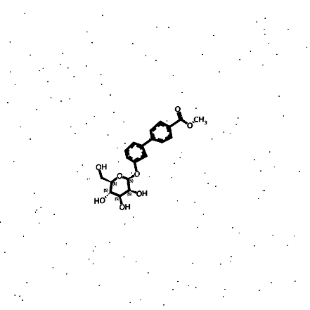 COC(=O)c1ccc(-c2cccc(O[C@@H]3O[C@H](CO)[C@@H](O)[C@H](O)[C@@H]3O)c2)cc1